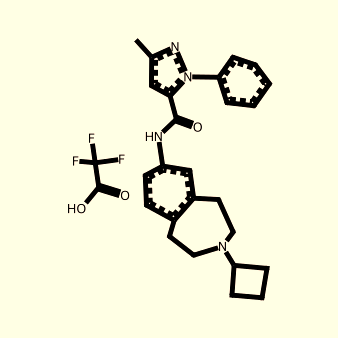 Cc1cc(C(=O)Nc2ccc3c(c2)CCN(C2CCC2)CC3)n(-c2ccccc2)n1.O=C(O)C(F)(F)F